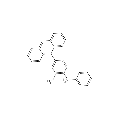 Cc1cc(-c2c3ccccc3cc3ccccc23)ccc1[SiH2]c1ccccc1